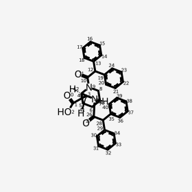 O=C(O)[C@@H]1[C@H]2CC[C@H](CN2C(=O)C(c2ccccc2)c2ccccc2)N1C(=O)C(c1ccccc1)c1ccccc1